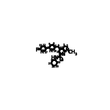 CN1CCc2c(Cc3ccc(-c4ccc(F)nc4)nc3)cc(C(=O)NC3CCCCC3)nc21